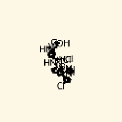 Cl.Cl.O=C(O)Cc1n[nH]c2ccc(-c3cnc([C@@H]4CCc5cc(-c6cc(Cl)ccc6-n6cnnn6)cc(=O)n54)[nH]3)cc12